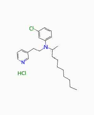 CCCCCCCCC(C)N(CCc1cccnc1)c1cccc(Cl)c1.Cl